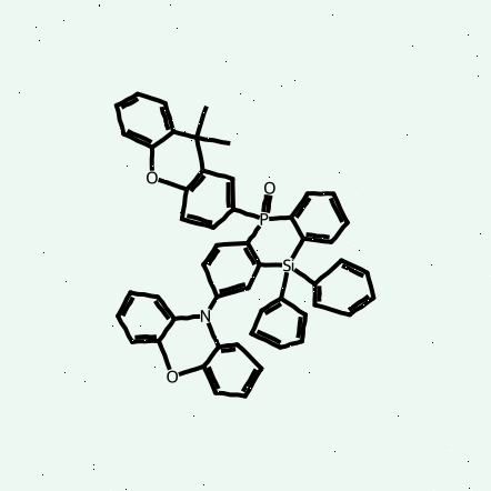 CC1(C)c2ccccc2Oc2ccc(P3(=O)c4ccccc4[Si](c4ccccc4)(c4ccccc4)c4cc(N5c6ccccc6Oc6ccccc65)ccc43)cc21